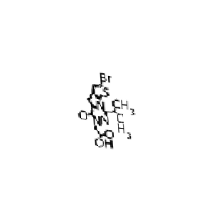 CC(C)c1nn(CC(=O)O)c(=O)c2cc3cc(Br)sc3n12